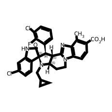 Cc1c(C(=O)O)ccc2c1nc1n2CC[C@H]2[C@@H]1[C@H](c1cccc(Cl)c1F)[C@]1(C(=O)Nc3cc(Cl)ccc31)N2CC1CC1